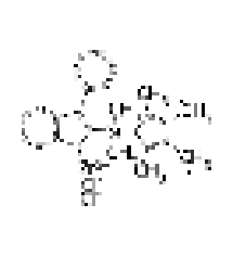 CC1=C(C)C([Si](C)(C)C2=C(c3ccccc3)c3ccccc3[CH]2[Zr+2])C(C)=C1C.[Cl-].[Cl-]